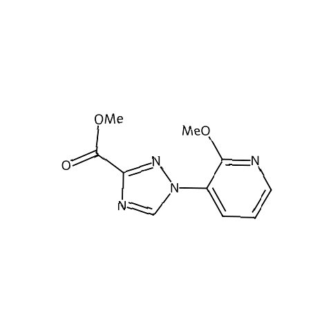 COC(=O)c1ncn(-c2cccnc2OC)n1